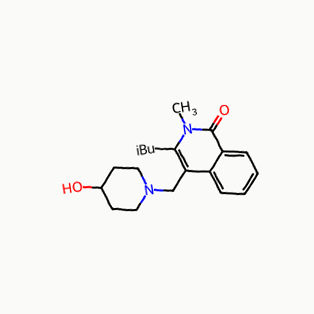 CCC(C)c1c(CN2CCC(O)CC2)c2ccccc2c(=O)n1C